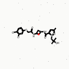 Cc1cc(C(=O)NC23CC(NC(=O)COc4ccc(Cl)c(Cl)c4)(C2)C3)n(CC(C)(C)O)n1